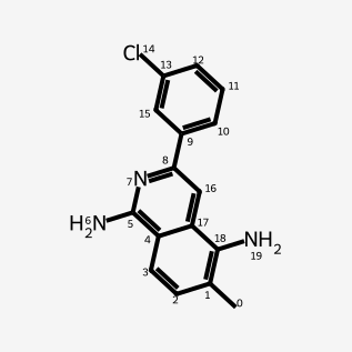 Cc1ccc2c(N)nc(-c3cccc(Cl)c3)cc2c1N